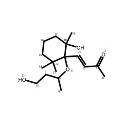 CC(=O)/C=C/C1(OC(C)CCO)C(C)(C)CCCC1(C)O